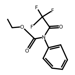 CCOC(=O)N(C(=O)C(F)(F)F)c1ccccc1